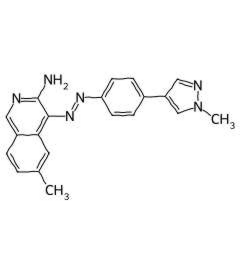 Cc1ccc2cnc(N)c(/N=N/c3ccc(-c4cnn(C)c4)cc3)c2c1